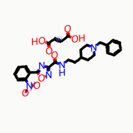 O=C(NCCC1CCN(Cc2ccccc2)CC1)c1noc(-c2ccccc2[N+](=O)[O-])n1.O=C(O)/C=C/C(=O)O